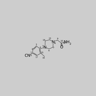 [C-]#[N+]c1ccc(N2CCN(CC(N)=O)CC2)c(C)c1